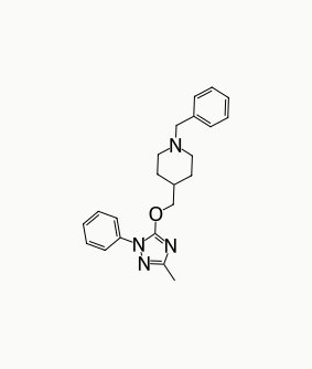 Cc1nc(OCC2CCN(Cc3ccccc3)CC2)n(-c2ccccc2)n1